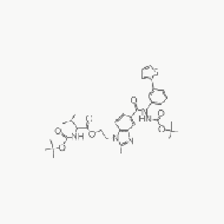 Cc1nc2cc(C(=O)N(NC(=O)OC(C)(C)C)c3cccc(-c4cccs4)c3)ccc2n1CCOC(=O)C(NC(=O)OC(C)(C)C)C(C)C